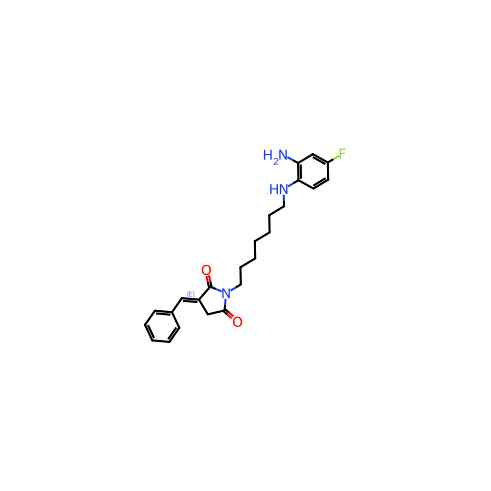 Nc1cc(F)ccc1NCCCCCCCN1C(=O)C/C(=C\c2ccccc2)C1=O